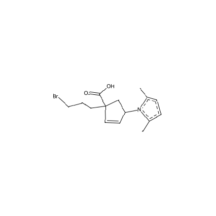 Cc1ccc(C)n1C1C=CC(CCCBr)(C(=O)O)C1